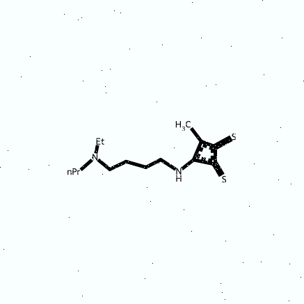 CCCN(CC)CCCCNc1c(C)c(=S)c1=S